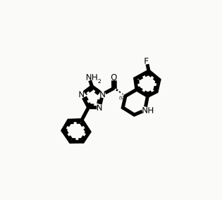 Nc1nc(-c2ccccc2)nn1C(=O)[C@H]1CCNc2ccc(F)cc21